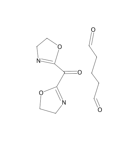 O=C(C1=NCCO1)C1=NCCO1.O=CCCCC=O